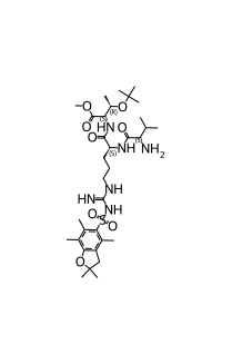 COC(=O)[C@@H](NC(=O)[C@H](CCCNC(=N)NS(=O)(=O)c1c(C)c(C)c2c(c1C)CC(C)(C)O2)NC(=O)[C@@H](N)C(C)C)[C@@H](C)OC(C)(C)C